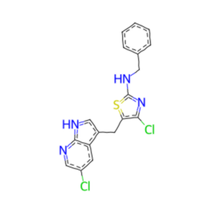 Clc1cnc2[nH]cc(Cc3sc(NCc4ccccc4)nc3Cl)c2c1